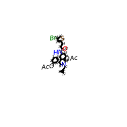 CC(=O)Oc1cccc([C@@]23CCN(CC4CC4)C[C@@]2(OC(C)=O)CC[C@H](NC(=O)C=Cc2cc(Br)cs2)C3)c1